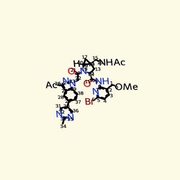 COCc1ccc(Br)nc1NC(=O)[C@@H]1C[C@@]2(CNC(C)=O)C[C@H]2N1C(=O)Cn1nc(C(C)=O)c2cc(-c3cnc(C)nc3)ccc21